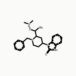 C[SiH](C)OC(C1CC(n2c(=O)[nH]c3ccccc32)CCN1Cc1ccccc1)C(C)(C)C